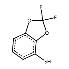 FC1(F)Oc2cccc(S)c2O1